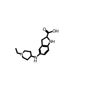 CCN1CCC(Nc2ccc3c(c2)CC(C(=O)O)N3)CC1